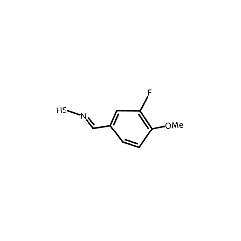 COc1ccc(/C=N/S)cc1F